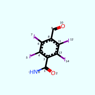 [NH]C(=O)c1c(I)c(I)c([C]=O)c(I)c1I